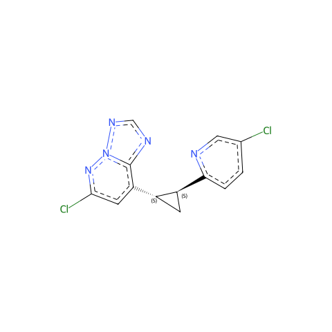 Clc1ccc([C@H]2C[C@@H]2c2cc(Cl)nn3ncnc23)nc1